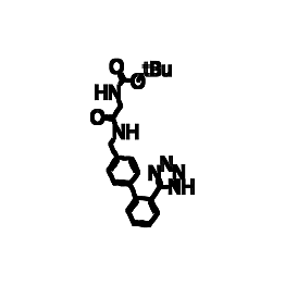 CC(C)(C)OC(=O)NCC(=O)NCc1ccc(-c2ccccc2-c2nnn[nH]2)cc1